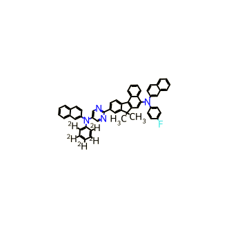 [2H]c1c([2H])c([2H])c(N(c2cnc(-c3ccc4c(c3)C(C)(C)c3cc(N(c5ccc(F)cc5)c5ccc6ccccc6c5)c5ccccc5c3-4)nc2)c2ccc3ccccc3c2)c([2H])c1[2H]